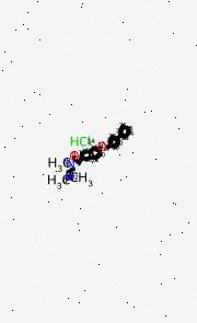 CN(C)CCN(C)C(=O)CC1CCc2cc(OCc3ccc(-c4ccccc4)cc3)ccc2C1.Cl